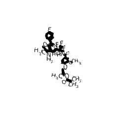 COc1cc(C(=O)NCC(O)(c2cc3c(c(-c4ccc(F)cc4)n2)OCC3(C)N)C(F)(F)F)ccc1OCC(C)OC(=O)C(C)C